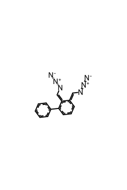 [N-]=[N+]=NC=c1cccc(-c2ccccc2)c1=CN=[N+]=[N-]